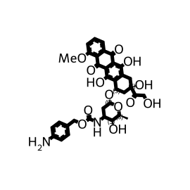 COc1cccc2c1C(=O)c1c(O)c3c(c(O)c1C2=O)C[C@@](O)(C(=O)CO)C[C@@H]3O[C@H]1CC(NC(=O)OCc2ccc(N)cc2)[C@H](O)[C@H](C)O1